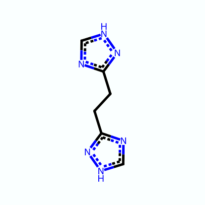 c1nc(CCc2nc[nH]n2)n[nH]1